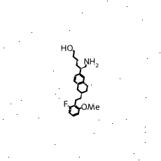 COc1cccc(F)c1CC[C@@H]1CCc2cc([C@H](CN)CCCCO)ccc2C1